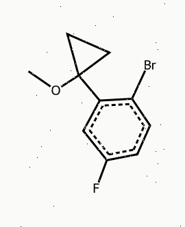 COC1(c2cc(F)ccc2Br)CC1